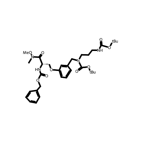 CON(C)C(=O)[C@H](COc1cccc(CN(CCCNC(=O)OC(C)(C)C)C(=O)OC(C)(C)C)c1)NC(=O)OCc1ccccc1